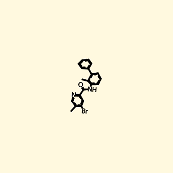 Cc1cnc(C(=O)Nc2cccc(-c3ccccc3)c2C)cc1Br